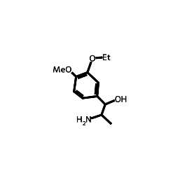 CCOc1cc(C(O)C(C)N)ccc1OC